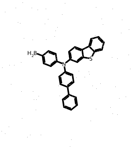 Bc1ccc(N(c2ccc(-c3ccccc3)cc2)c2ccc3c(c2)sc2ccccc23)cc1